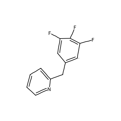 Fc1[c]c(Cc2ccccn2)cc(F)c1F